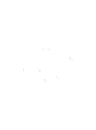 CCn1nnc(C#N)c1C(C)(C)C